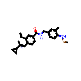 C=Cc1cc(C(=O)NCc2ccc(NSC)c(C)c2)ccc1/C=C(\C)C1CC1